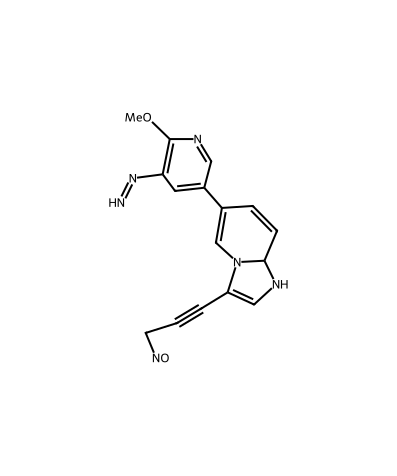 COc1ncc(C2=CN3C(C#CCN=O)=CNC3C=C2)cc1N=N